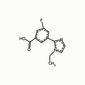 CCn1ccnc1-c1cc(F)cc(C(=O)O)c1